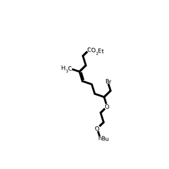 CCCCOCCOC(CBr)CCC=C(C)CCC(=O)OCC